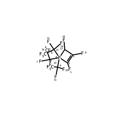 FC1=C(F)P(C(F)(F)C(F)(F)F)(C(F)(F)C(F)(F)F)(C(F)(F)C(F)(F)F)C1F